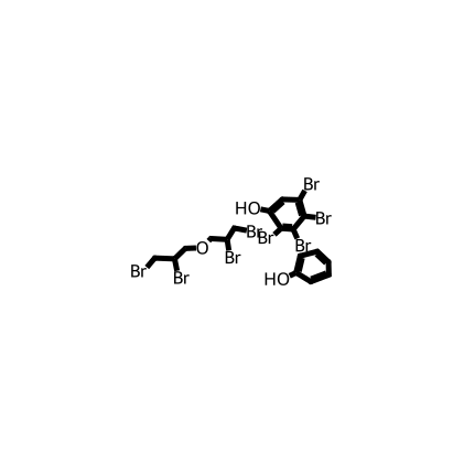 BrCC(Br)COCC(Br)CBr.Oc1cc(Br)c(Br)c(Br)c1Br.Oc1ccccc1